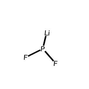 [Li][P](F)F